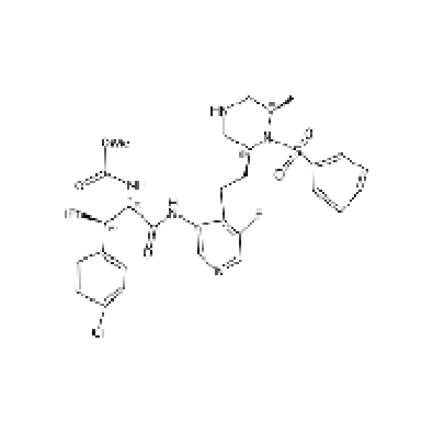 COC(=O)N[C@H](C(=O)Nc1cncc(F)c1CC[C@H]1CNC[C@@H](C)N1S(=O)(=O)c1ccccc1)[C@@H](c1ccc(Cl)cc1)C(C)C